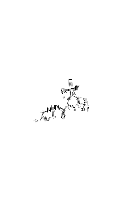 Cc1cnc(NC(=O)c2cc(C(F)(F)F)cc(C(F)(F)F)c2)cn1